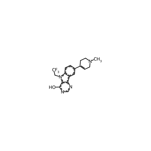 CN1CC=C(c2ccc3c(c2)c2ncnc(O)c2n3CC(F)(F)F)CC1